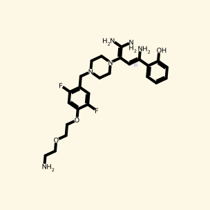 NCCOCCOc1cc(F)c(CN2CCN(C(/C=C(\N)c3ccccc3O)=C(N)N)CC2)cc1F